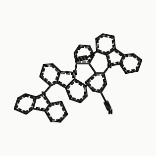 N#Cc1ccc(-c2ccccc2-n2c3ccccc3c3c(-n4c5ccccc5c5ccccc54)cccc32)c(-n2c3ccccc3c3cccc(C#N)c32)c1